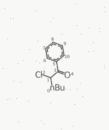 CCCCC(Cl)C(=O)c1ccccc1